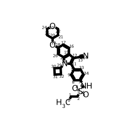 CCCS(=O)(=O)Nc1ccc(-c2c(C#N)c3ccc(OC4CCOCC4)cc3n2C2CCC2)cc1